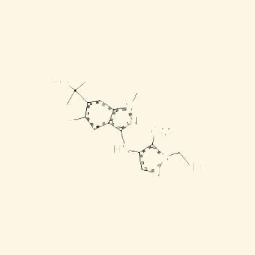 COc1c(Nc2nn(C)c3cc(C(C)(C)O)c(F)cc23)cnn1CC(C)C